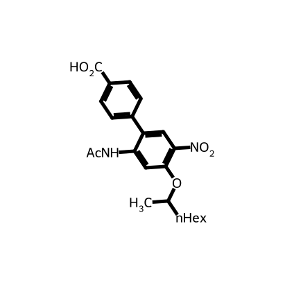 CCCCCCC(C)Oc1cc(NC(C)=O)c(-c2ccc(C(=O)O)cc2)cc1[N+](=O)[O-]